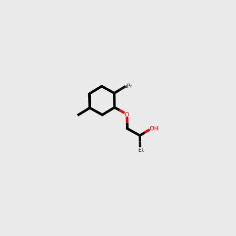 CCC(O)COC1CC(C)CCC1C(C)C